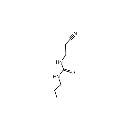 CCCNC(=O)NCCC#N